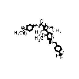 CCn1nc(C(=O)NCC2CCC(S(C)(=O)=O)CC2)c(C)c1-c1cnc(NCC2CCC(C(F)(F)F)CC2)cc1OC